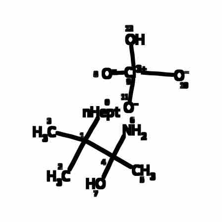 CCCCCCCC(C)(C)C(C)(N)O.[O-][Cl+3]([O-])([O-])O